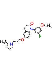 COc1cc(F)cc(N2C(=O)CCc3cc(OCCCN4CCC[C@H]4C)ccc32)c1